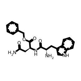 NC(=O)C[C@H](NC(=O)[C@@H](N)Cc1c[nH]c2ccccc12)C(=O)OCc1ccccc1